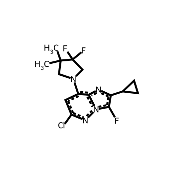 CC1(C)CN(c2cc(Cl)nn3c(F)c(C4CC4)nc23)CC1(F)F